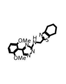 COc1cccc(OC)c1-c1cnnc(NCc2nc3c(s2)CCCC3)n1